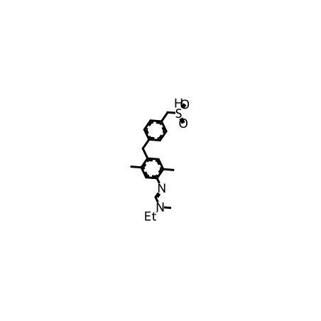 CCN(C)C=Nc1cc(C)c(Cc2ccc(C[SH](=O)=O)cc2)cc1C